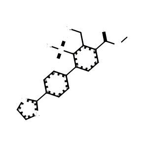 COC(=O)c1ccc(-c2ccc(-c3ncco3)cc2)c(S(N)(=O)=O)c1CN